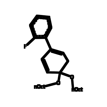 CCCCCCCCOC1(OCCCCCCCC)C=CC(c2ccccc2F)=CC1